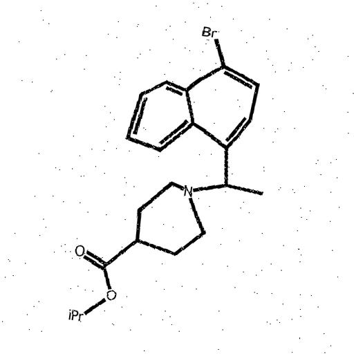 CC(C)OC(=O)C1CCN(C(C)c2ccc(Br)c3ccccc23)CC1